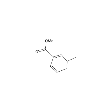 COC(=O)C1=CC(C)CC=C1